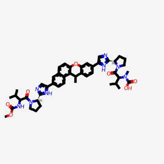 COC(=O)NC(C(=O)N1CCC[C@H]1c1ncc(-c2ccc3c4c(ccc3c2)Oc2cc(-c3cnc([C@@H]5CCCN5C(=O)C(C(C)C)N(C)C(=O)O)[nH]3)ccc2C4C)[nH]1)C(C)C